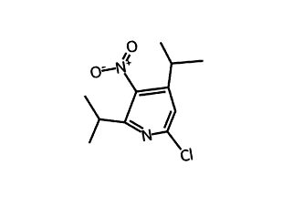 CC(C)c1cc(Cl)nc(C(C)C)c1[N+](=O)[O-]